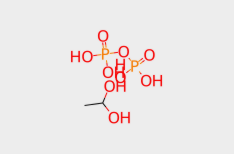 CC(O)O.O=P(O)(O)OP(=O)(O)O